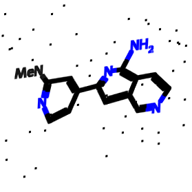 CNc1cc(-c2cc3cnccc3c(N)n2)ccn1